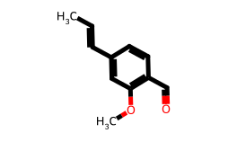 CC=Cc1ccc(C=O)c(OC)c1